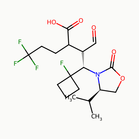 CC(C)[C@@H]1COC(=O)N1[C@@H](C(C=O)C(CCC(F)(F)F)C(=O)O)C1(F)CCC1